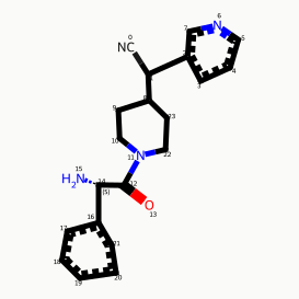 N#CC(c1cccnc1)C1CCN(C(=O)[C@@H](N)c2ccccc2)CC1